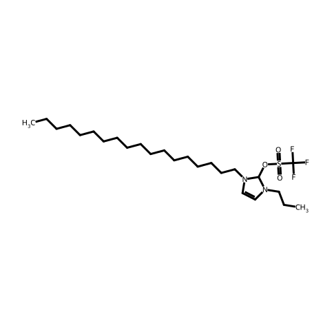 CCCCCCCCCCCCCCCCCCN1C=CN(CCC)C1OS(=O)(=O)C(F)(F)F